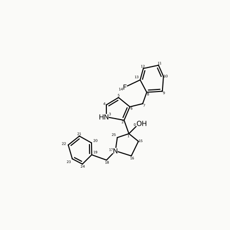 OC1(c2[nH]ccc2Cc2ccccc2F)CCN(Cc2ccccc2)C1